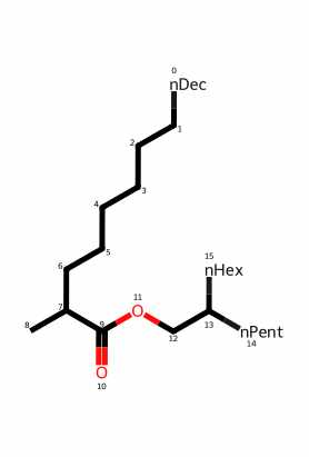 CCCCCCCCCCCCCCCCC(C)C(=O)OCC(CCCCC)CCCCCC